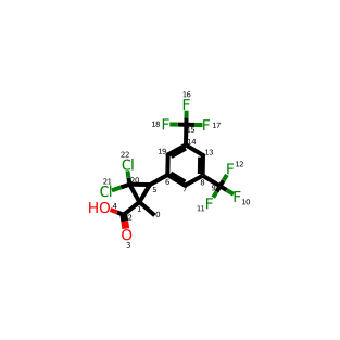 CC1(C(=O)O)C(c2cc(C(F)(F)F)cc(C(F)(F)F)c2)C1(Cl)Cl